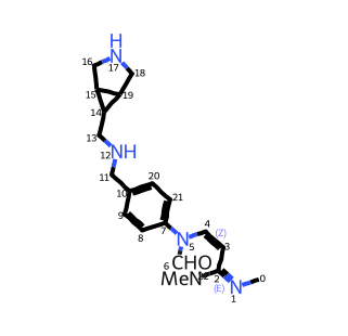 C/N=C(\C=C/N(C=O)c1ccc(CNCC2C3CNCC23)cc1)NC